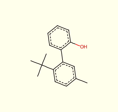 Cc1ccc(C(C)(C)C)c(-c2ccccc2O)c1